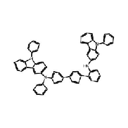 c1ccc(N(c2ccc(-c3ccc(-c4ccccc4Nc4ccc5c(c4)c4ccccc4n5-c4ccccc4)cc3)cc2)c2ccc3c(c2)c2ccccc2n3-c2ccccc2)cc1